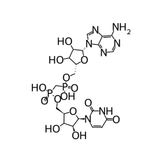 Nc1ncnc2c1ncn2[C@@H]1O[C@H](COP(=O)(O)CP(=O)(O)OC[C@H]2O[C@@H](n3ccc(=O)[nH]c3=O)[C@@H](O)C2O)C(O)C1O